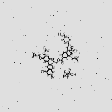 CN1CCN(CCN(c2ccc(C(=O)OCC(=O)O[C@@H](Cc3c(Cl)c[n+]([O-])cc3Cl)c3ccc(OC(F)F)c(OCC4CC4)c3)cc2OCC2CC2)S(C)(=O)=O)CC1.O=C(O)C(F)(F)F